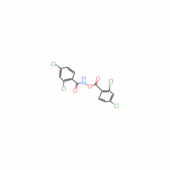 O=C(NOC(=O)c1ccc(Cl)cc1Cl)c1ccc(Cl)cc1Cl